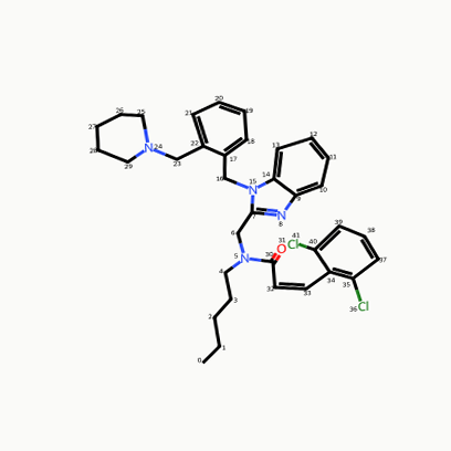 CCCCCN(Cc1nc2ccccc2n1Cc1ccccc1CN1CCCCC1)C(=O)/C=C\c1c(Cl)cccc1Cl